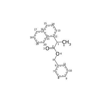 CC(C(=O)OCc1ccccc1)c1cccc2ccccc12